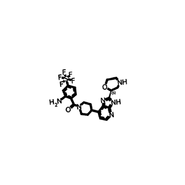 Nc1cc(S(F)(F)(F)(F)F)ccc1C(=O)N1CCC(c2ccnc3[nH]c([C@@H]4CNCCO4)nc23)CC1